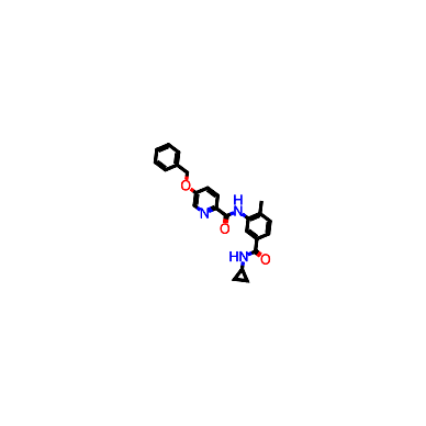 Cc1ccc(C(=O)NC2CC2)cc1NC(=O)c1ccc(OCc2ccccc2)cn1